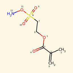 C=C(C)C(=O)OCCS(=O)(=O)ON